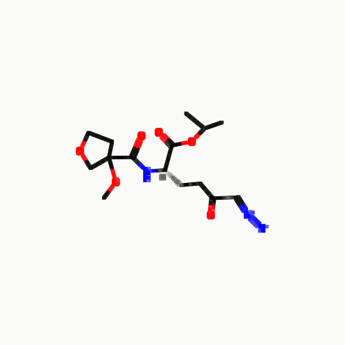 COC1(C(=O)N[C@@H](CCC(=O)C=[N+]=[N-])C(=O)OC(C)C)CCOC1